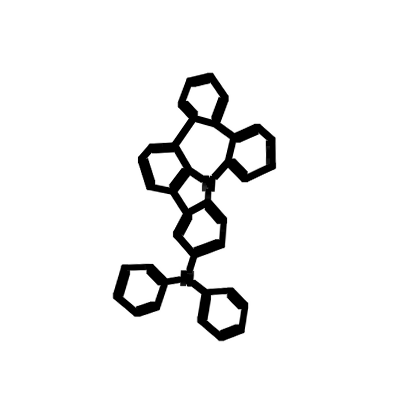 c1ccc(N(c2ccccc2)c2ccc3c(c2)c2cccc4c2n3-c2ccccc2-c2ccccc2-4)cc1